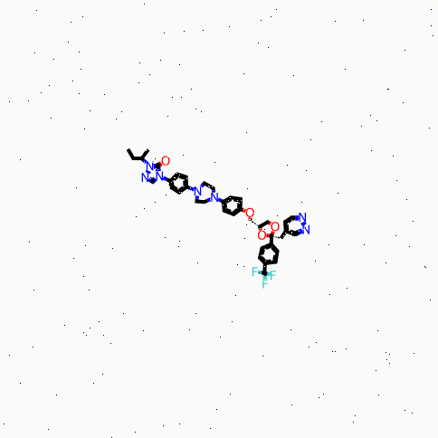 CCC(C)n1ncn(-c2ccc(N3CCN(c4ccc(OC[C@@H]5CO[C@@](Cc6ccnnc6)(c6ccc(C(F)(F)F)cc6)O5)cc4)CC3)cc2)c1=O